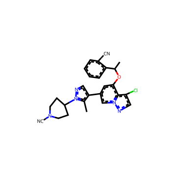 Cc1c(-c2cc(OC(C)c3ccccc3C#N)c3c(Cl)cnn3c2)cnn1C1CCN(C#N)CC1